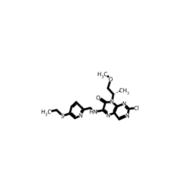 CCSc1ccc(CNc2nc3cnc(Cl)nc3n([C@@H](C)COC)c2=O)nc1